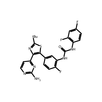 CC(C)(C)c1nc(-c2ccnc(N)n2)c(-c2ccc(F)c(NC(=O)Nc3ccc(F)cc3F)c2)s1